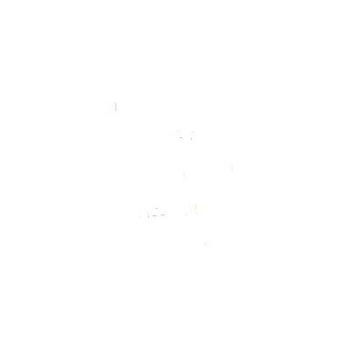 O=[SH](=O)C(F)NCI